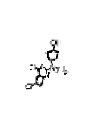 CN(c1ccc(O)cc1)c1nc(Cl)c2cc(Cl)ccc2n1